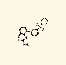 Nc1ncc2cccc(-c3cccc(S(=O)(=O)N4CCCC4)c3)c2n1